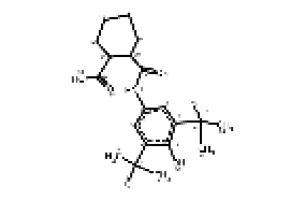 CC(C)(C)c1cc(NC(=O)C2CCCCC2C(=O)O)cc(C(C)(C)C)c1O